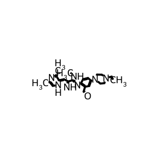 CCN1CCN(c2ccc(/N=C(\NC)C(=N)/C=C3\NC=C(C)N=C3C)c(C=O)c2)CC1